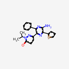 CC(C)n1nc(-c2nc(-c3cccs3)c(N)nc2-c2ccccc2)ccc1=O